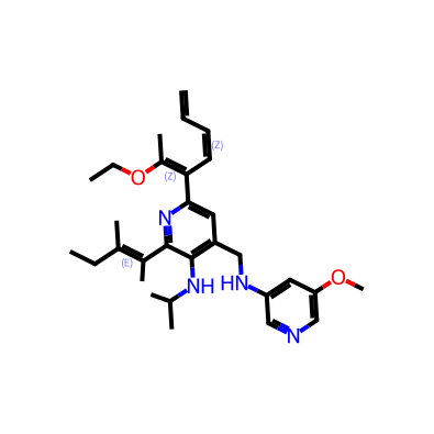 C=C/C=C\C(=C(/C)OCC)c1cc(CNc2cncc(OC)c2)c(NC(C)C)c(/C(C)=C(\C)CC)n1